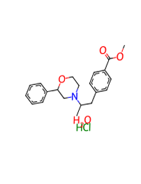 COC(=O)c1ccc(CC(C)N2CCOC(c3ccccc3)C2)cc1.Cl.O